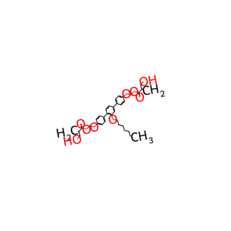 C=C(CO)C(=O)OCOc1ccc(-c2ccc(-c3ccc(OCOC(=O)C(=C)CO)cc3)c(OCCCCCCC)c2)cc1